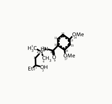 CCC(O)C[N+](C)(C)NC(=O)c1ccc(OC)cc1OC